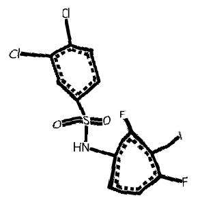 O=S(=O)(Nc1ccc(F)c(I)c1F)c1ccc(Cl)c(Cl)c1